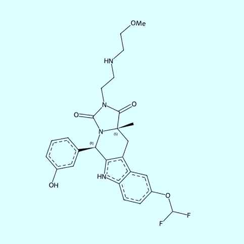 COCCNCCN1C(=O)N2[C@H](c3cccc(O)c3)c3[nH]c4ccc(OC(F)F)cc4c3C[C@@]2(C)C1=O